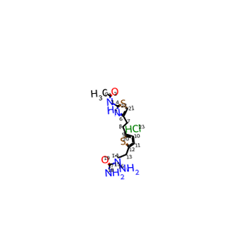 CC(=O)Nc1nc(CCc2ccc(CCN(N)C(N)=O)s2)cs1.Cl